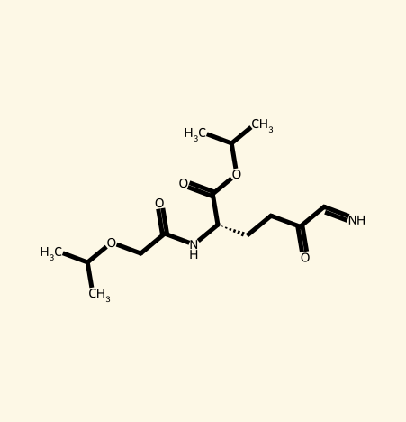 CC(C)OCC(=O)N[C@@H](CCC(=O)C=N)C(=O)OC(C)C